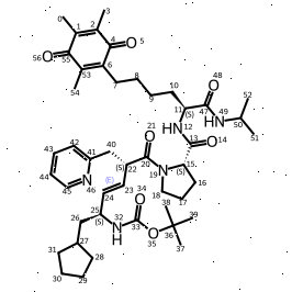 CC1=C(C)C(=O)C(CCCC[C@H](NC(=O)[C@@H]2CCCN2C(=O)[C@H](/C=C/[C@H](CC2CCCC2)NC(=O)OC(C)(C)C)Cc2ccccn2)C(=O)NC(C)C)=C(C)C1=O